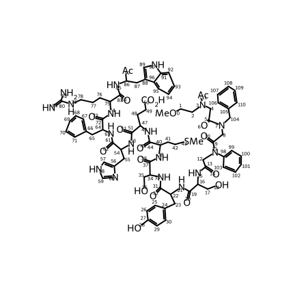 COCCN(CC(=O)N(CC(=O)N(CC(=O)NC(CO)C(=O)NC(Cc1ccc(O)cc1)C(=O)NC(CO)C(=O)NC(CCSC)C(=O)NC(CCC(=O)O)C(=O)NC(Cc1c[nH]cn1)C(=O)NC(Cc1ccccc1)C(=O)NC(CCCNC(=N)N)C(=O)NC(Cc1c[nH]c2ccccc12)C(C)=O)c1ccccc1)Cc1ccccc1)C(C)=O